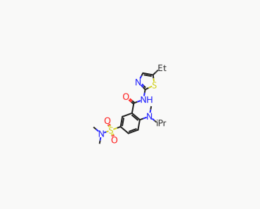 CCc1cnc(NC(=O)c2cc(S(=O)(=O)N(C)C)ccc2N(C)C(C)C)s1